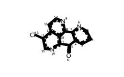 O=C1c2cccnc2-c2nccc3c(Cl)cnc1c23